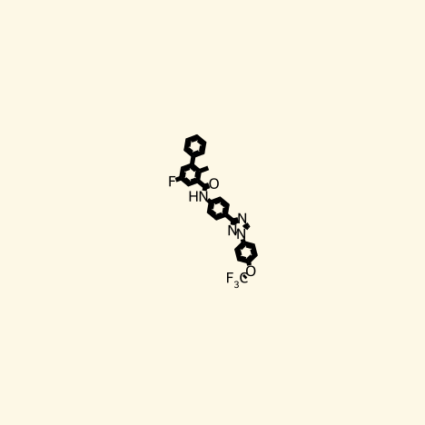 Cc1c(C(=O)Nc2ccc(-c3ncn(-c4ccc(OC(F)(F)F)cc4)n3)cc2)cc(F)cc1-c1ccccc1